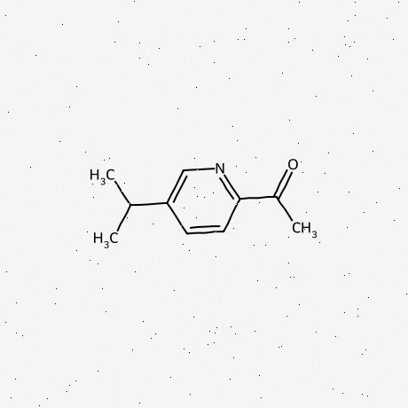 CC(=O)c1ccc(C(C)C)cn1